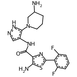 Nc1sc(-c2c(F)cccc2F)nc1C(=O)Nc1cn[nH]c1N1CCCC(N)C1